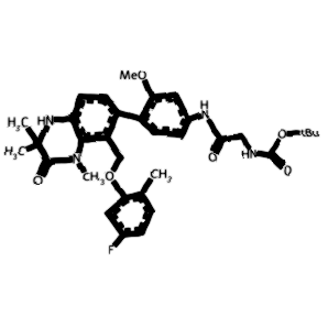 COc1cc(NC(=O)CNC(=O)OC(C)(C)C)ccc1-c1ccc2c(c1COc1cc(F)ccc1C)N(C)C(=O)C(C)(C)N2